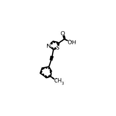 Cc1cccc(C#Cc2ncc(C(=O)O)s2)c1